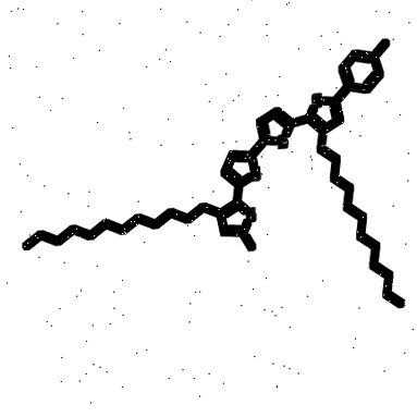 CCCCCCCCCCCCc1cc(C)sc1-c1ccc(-c2ccc(-c3sc(-c4ccc(C)cc4)cc3CCCCCCCCCCCC)s2)s1